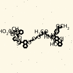 C=CC(=O)N1CCN(c2nc(NCCC(=O)N(C)CCOCCOCCOc3ccc(-c4csc(C5CCCN5C(=O)[C@@H](NC(=O)C(C)N(C)C(=O)O)C5CCCCC5)n4)c4ccccc34)nc3c(F)c(-c4c(O)cccc4F)c(Cl)cc23)CC1